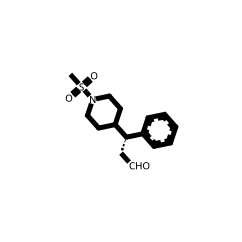 CS(=O)(=O)N1CCC([C@@H](CC=O)c2ccccc2)CC1